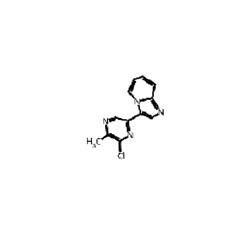 Cc1ncc(-c2cnc3ccccn23)nc1Cl